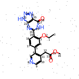 CCOc1cc(-c2cnccc2CC(=O)OC)ccc1-c1nc2[nH]nnc2c(=O)[nH]1